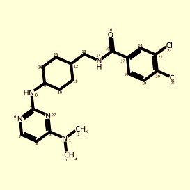 CN(C)c1ccnc(NC2CCC(CNC(=O)c3ccc(Cl)c(Cl)c3)CC2)n1